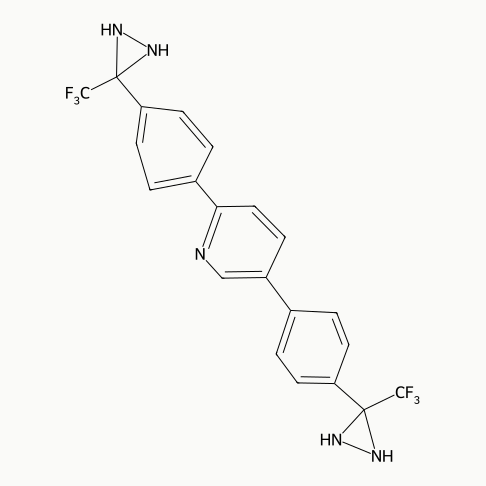 FC(F)(F)C1(c2ccc(-c3ccc(-c4ccc(C5(C(F)(F)F)NN5)cc4)nc3)cc2)NN1